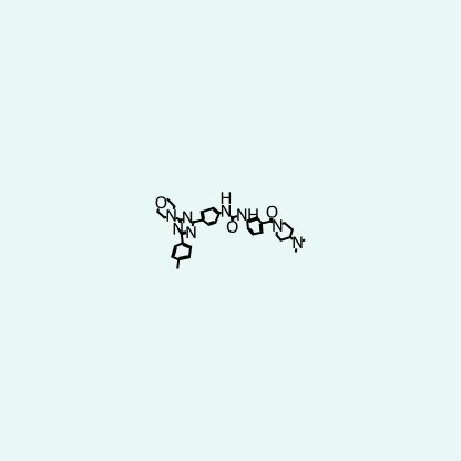 Cc1ccc(-c2nc(-c3ccc(NC(=O)Nc4cccc(C(=O)N5CCC(N(C)C)CC5)c4)cc3)nc(N3CCOCC3)n2)cc1